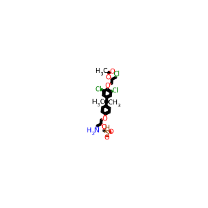 CC(=O)OC(CCl)COc1c(Cl)cc(C(C)(C)c2ccc(OCC(CN)OC[SH](=O)=O)cc2)cc1Cl